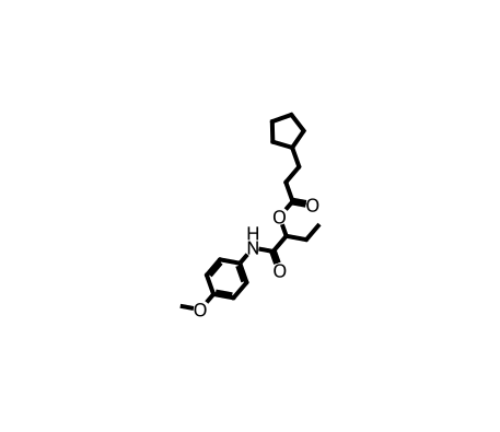 CCC(OC(=O)CCC1CCCC1)C(=O)Nc1ccc(OC)cc1